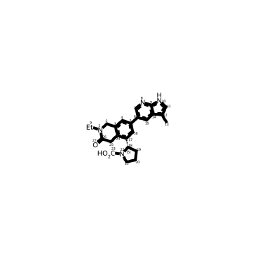 CCN1Cc2cc(-c3cnc4[nH]cc(C)c4c3)cc([C@@H]3CCCN3C(=O)O)c2CC1=O